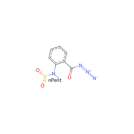 CCCCCN(c1ccccc1C(=O)N=[N+]=[N-])[SH](=O)=O